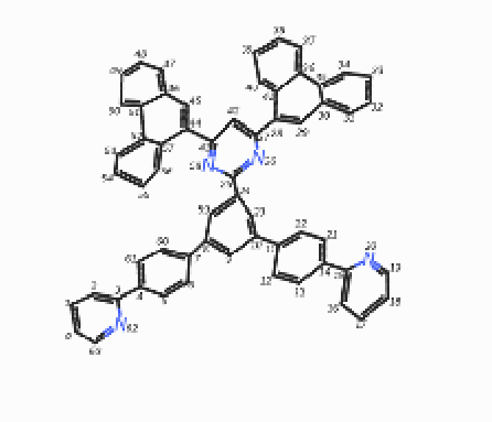 c1ccc(-c2ccc(-c3cc(-c4ccc(-c5ccccn5)cc4)cc(-c4nc(-c5cc6ccccc6c6ccccc56)cc(-c5cc6ccccc6c6ccccc56)n4)c3)cc2)nc1